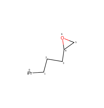 CC(C)CCCC1CO1